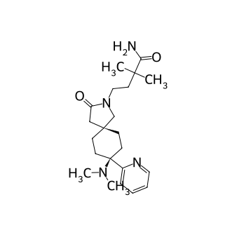 CN(C)[C@]1(c2ccccn2)CC[C@@]2(CC1)CC(=O)N(CCC(C)(C)C(N)=O)C2